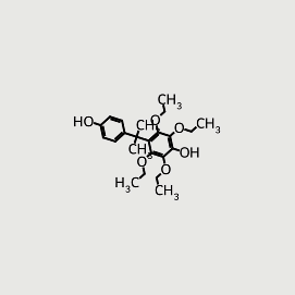 CCOc1c(O)c(OCC)c(OCC)c(C(C)(C)c2ccc(O)cc2)c1OCC